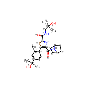 Cc1cc(C(O)(C(F)(F)F)C(F)(F)F)ccc1-c1sc(C(=O)NCC(C)(C)O)nc1C(=O)N1C2CCC1CC2